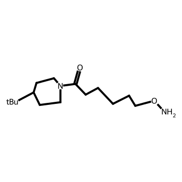 CC(C)(C)C1CCN(C(=O)CCCCCON)CC1